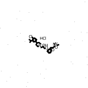 Cc1nnc(-c2cc3c(OC[C@@H](O)CN4CCC(c5ccc(Cl)c(C(C)C)c5)CC4)cccc3o2)o1.Cl